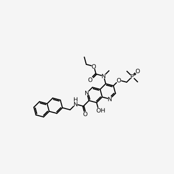 CCOC(=O)N(C)c1c(OCP(C)(C)=O)cnc2c(O)c(C(=O)NCc3ccc4ccccc4c3)ncc12